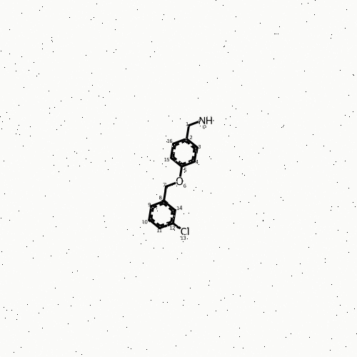 [NH]Cc1ccc(OCc2cccc(Cl)c2)cc1